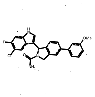 COc1cccc(-c2ccc3c(c2)CN(C(N)=O)C3c2c[nH]c3cc(F)c(Cl)cc23)c1